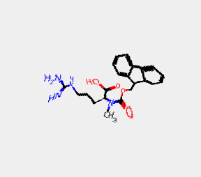 CN(C(=O)OCC1c2ccccc2-c2ccccc21)[C@@H](CCCNC(=N)N)C(=O)O